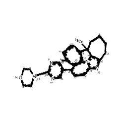 Cc1ccc(C2(O)CCCCc3nc4ccc(-c5cnc(N6CCOCC6)nc5)cn4c32)cc1